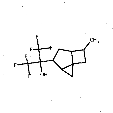 CC1CC23CC2C(C(O)(C(F)(F)F)C(F)(F)F)CC13